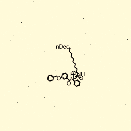 CCCCCCCCCCCCCCCCCCCC(=O)NS(=O)(=O)c1ccccc1NC(=O)c1cccc(OCc2ccccc2)c1